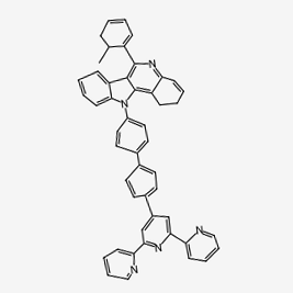 CC1CC=CC=C1c1nc2c(c3c1c1ccccc1n3-c1ccc(-c3ccc(-c4cc(-c5ccccn5)nc(-c5ccccn5)c4)cc3)cc1)CCC=C2